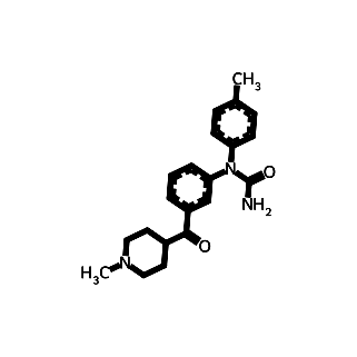 Cc1ccc(N(C(N)=O)c2cccc(C(=O)C3CCN(C)CC3)c2)cc1